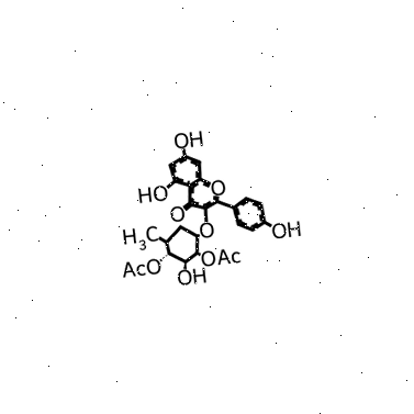 CC(=O)O[C@H]1[C@@H](O)[C@H](OC(C)=O)C(C)C[C@@H]1Oc1c(-c2ccc(O)cc2)oc2cc(O)cc(O)c2c1=O